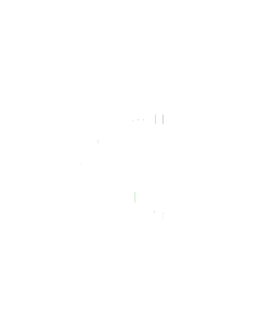 [Cl-].[Cl-].[Cl-].[Cl-].[GeH2+2].[Sr+2]